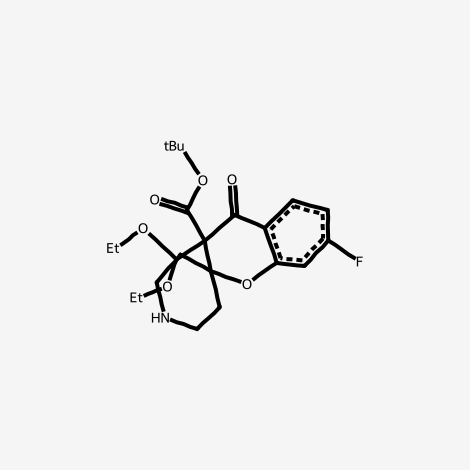 CCOC(OCC)C1(C(=O)OC(C)(C)C)C(=O)c2ccc(F)cc2OC12CCNCC2